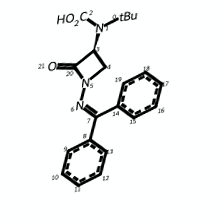 CC(C)(C)N(C(=O)O)[C@H]1CN(N=C(c2ccccc2)c2ccccc2)C1=O